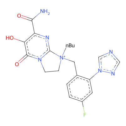 CCCC[N+]1(Cc2ccc(F)cc2-n2cncn2)CCn2c1nc(C(N)=O)c(O)c2=O